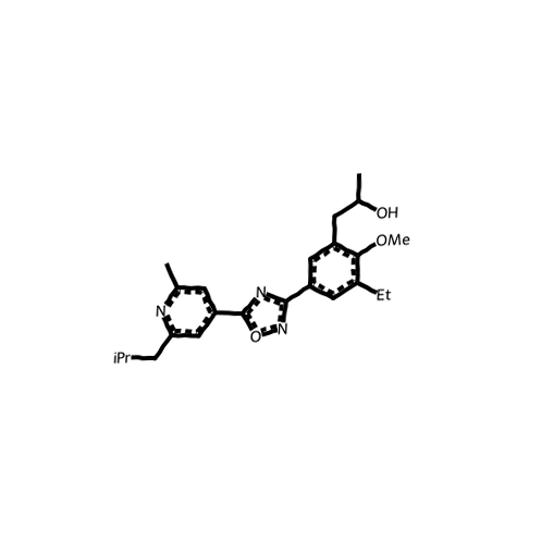 CCc1cc(-c2noc(-c3cc(C)nc(CC(C)C)c3)n2)cc(CC(C)O)c1OC